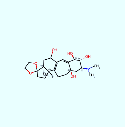 CN(C)[C@H]1C[C@]2(O)CCC3=C(C=C2[C@@H](O)[C@@H]1O)C(O)C[C@@]1(C)[C@H]3CCC12OCCO2